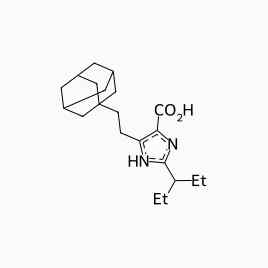 CCC(CC)c1nc(C(=O)O)c(CCC23CC4CC(CC(C4)C2)C3)[nH]1